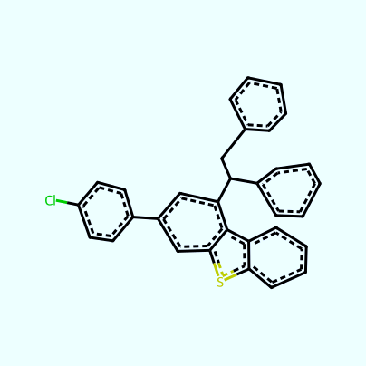 Clc1ccc(-c2cc(C(Cc3ccccc3)c3ccccc3)c3c(c2)sc2ccccc23)cc1